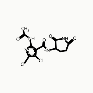 CC(=O)Nc1sc(Cl)c(Cl)c1C(=O)NC1CCC(=O)NC1=O